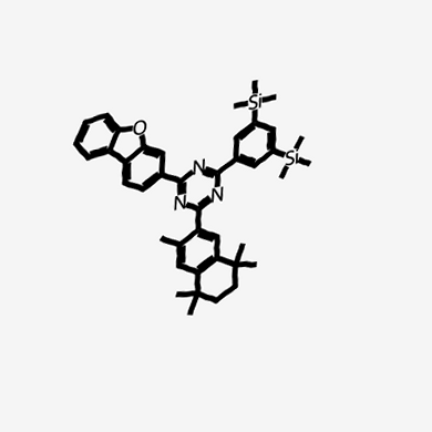 Cc1cc2c(cc1-c1nc(-c3cc([Si](C)(C)C)cc([Si](C)(C)C)c3)nc(-c3ccc4c(c3)oc3ccccc34)n1)C(C)(C)CCC2(C)C